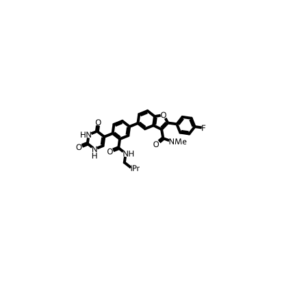 CNC(=O)c1c(-c2ccc(F)cc2)oc2ccc(-c3ccc(-c4c[nH]c(=O)[nH]c4=O)c(C(=O)NCC(C)C)c3)cc12